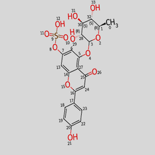 C[C@H]1OC(Oc2cc(OS(=O)(=O)O)cc3oc(-c4ccc(O)cc4)cc(=O)c23)[C@H](O)[C@@H](O)[C@@H]1O